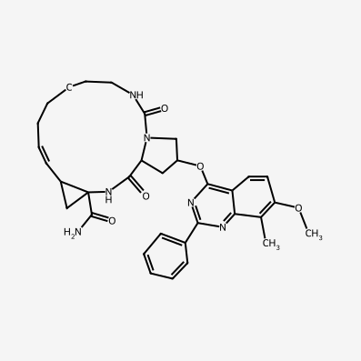 COc1ccc2c(OC3CC4C(=O)NC5(C(N)=O)CC5C=CCCCCCNC(=O)N4C3)nc(-c3ccccc3)nc2c1C